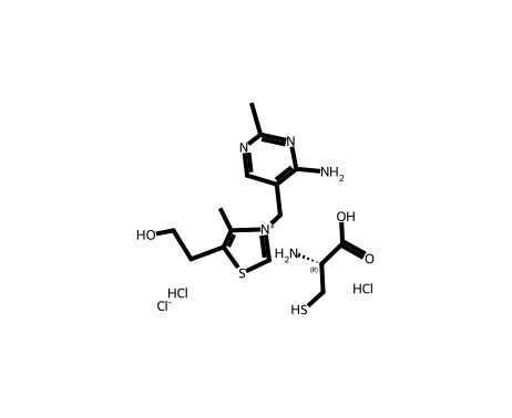 Cc1ncc(C[n+]2csc(CCO)c2C)c(N)n1.Cl.Cl.N[C@@H](CS)C(=O)O.[Cl-]